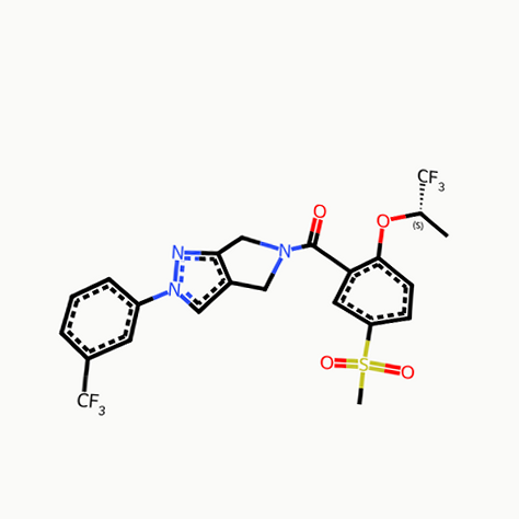 C[C@H](Oc1ccc(S(C)(=O)=O)cc1C(=O)N1Cc2cn(-c3cccc(C(F)(F)F)c3)nc2C1)C(F)(F)F